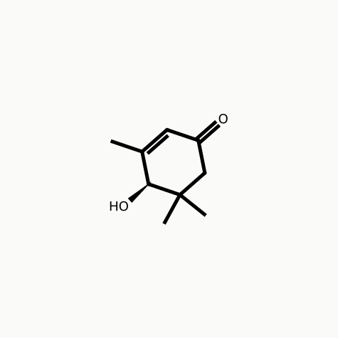 CC1=CC(=O)CC(C)(C)[C@H]1O